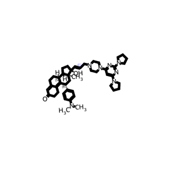 CN(C)c1ccc([C@H]2C[C@@]3(C)[C@@H](CC[C@]3(O)/C=C/CN3CCN(c4cc(N5CCCC5)nc(N5CCCC5)n4)CC3)[C@@H]3CCC4=CC(=O)CCC4=C32)cc1